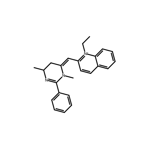 CC[n+]1c(/C=C2/CC(C)N=C(c3ccccc3)N2C)ccc2ccccc21